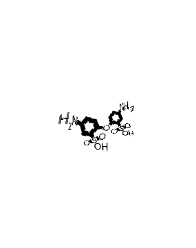 Nc1ccc(Oc2ccc(N)cc2S(=O)(=O)O)c(S(=O)(=O)O)c1